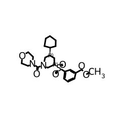 COC(=O)c1cccc(S(=O)(=O)[C@@H]2C[C@H](C3CCCCC3)CN(C(=O)N3CCOCC3)C2)c1